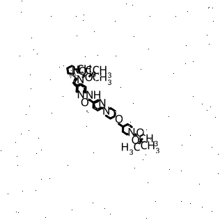 CN1CCC[C@@H]1c1cc2cnc(NC(=O)c3ccc(N4CCC(OCC5CCN(C(=O)OC(C)(C)C)CC5)CC4)nc3)cc2n1C(=O)OC(C)(C)C